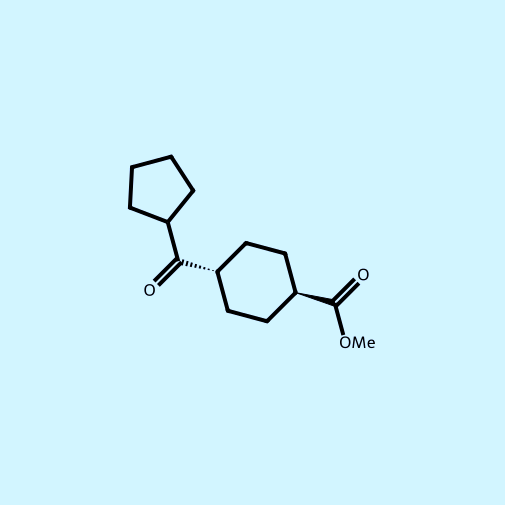 COC(=O)[C@H]1CC[C@H](C(=O)C2CCCC2)CC1